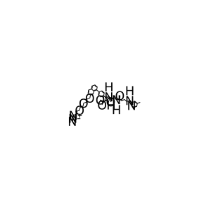 Cc1ccnc(NCCCC(=O)NCC(=O)N[C@@H](CC(=O)O)c2ccc(-c3cccc4ccc(OCCOCCOCCN=[N+]=[N-])cc34)cc2)c1